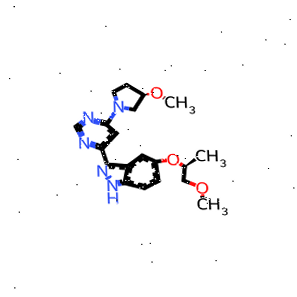 COC[C@H](C)Oc1ccc2[nH]nc(-c3cc(N4CC[C@H](OC)C4)ncn3)c2c1